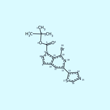 CC(C)(C)OC(=O)n1ncc2cc(-c3cncs3)nc(Br)c21